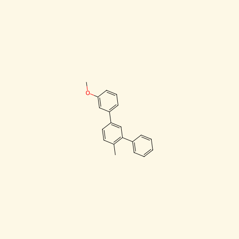 COc1cccc(-c2ccc(C)c(-c3ccccc3)c2)c1